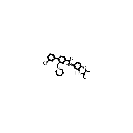 CC1Oc2ccc(NC(=O)c3ccc(-c4cccc(Cl)c4)c(CN4CCCCC4)c3)cc2NC1=O